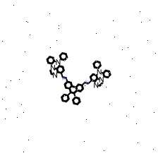 C(=C\c1ccc(N(c2ccccc2)c2ccccc2)c2nccnc12)/c1ccc2c(-c3ccccc3)c(-c3ccccc3)c3ccc(/C=C/c4ccc(N(c5ccccc5)c5ccccc5)c5nccnc45)cc3c2c1